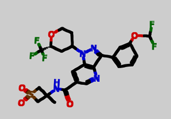 CC1(NC(=O)c2cnc3c(-c4cccc(OC(F)F)c4)nn(C4CCO[C@@H](C(F)(F)F)C4)c3c2)CS(=O)(=O)C1